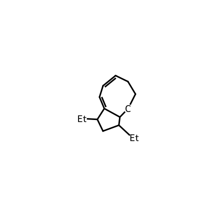 CCC1CC(CC)C2CCC/C=C\C=C\12